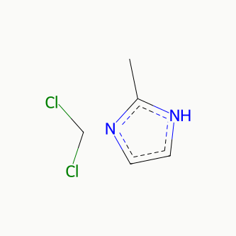 Cc1ncc[nH]1.ClCCl